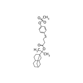 CC(C)(OC(=O)CCSc1ccc(OS(C)(=O)=O)cc1)C12CCC3CCC(CC3C1)C2